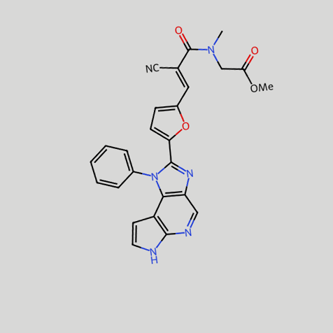 COC(=O)CN(C)C(=O)/C(C#N)=C/c1ccc(-c2nc3cnc4[nH]ccc4c3n2-c2ccccc2)o1